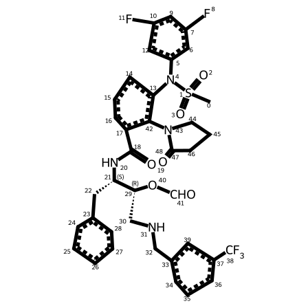 CS(=O)(=O)N(c1cc(F)cc(F)c1)c1cccc(C(=O)N[C@@H](Cc2ccccc2)[C@@H](CNCc2cccc(C(F)(F)F)c2)OC=O)c1N1CCCC1=O